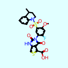 COc1cc(F)c(-n2c(=O)[nH]c3csc(C(=O)O)c3c2=O)cc1S(=O)(=O)N1CCC(C)c2ccccc21